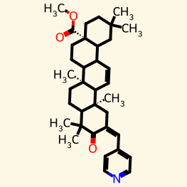 COC(=O)[C@@]12CCC3C(C=CC4[C@@]3(C)CCC3C(C)(C)C(=O)/C(=C\c5ccncc5)C[C@@]34C)C1CC(C)(C)CC2